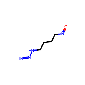 N=NNCCCCN=O